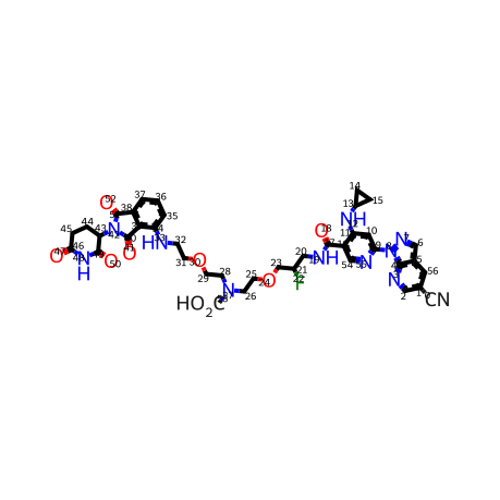 N#Cc1cnc2c(cnn2-c2cc(NC3CC3)c(C(=O)NCC(F)COCCN(CCOCCNc3cccc4c3C(=O)N(C3CCC(=O)NC3=O)C4=O)C(=O)O)cn2)c1